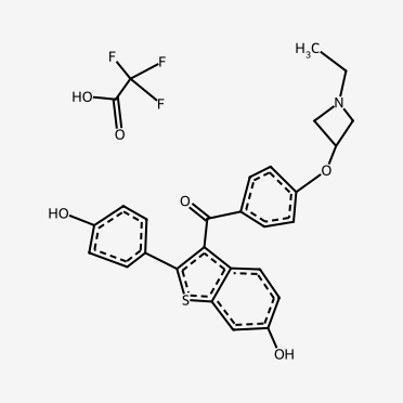 CCN1CC(Oc2ccc(C(=O)c3c(-c4ccc(O)cc4)sc4cc(O)ccc34)cc2)C1.O=C(O)C(F)(F)F